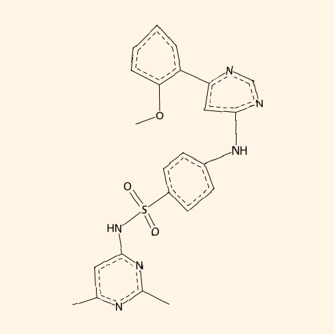 COc1ccccc1-c1cc(Nc2ccc(S(=O)(=O)Nc3cc(C)nc(C)n3)cc2)ncn1